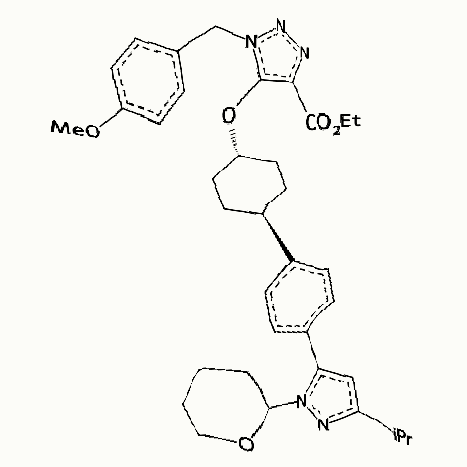 CCOC(=O)c1nnn(Cc2ccc(OC)cc2)c1O[C@H]1CC[C@H](c2ccc(-c3cc(C(C)C)nn3C3CCCCO3)cc2)CC1